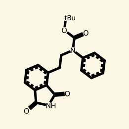 CC(C)(C)OC(=O)N(CCc1cccc2c1C(=O)NC2=O)c1ccccc1